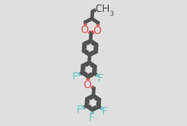 CCC1COC(c2ccc(-c3cc(F)c(OCc4cc(F)c(F)c(F)c4)c(F)c3)cc2)OC1